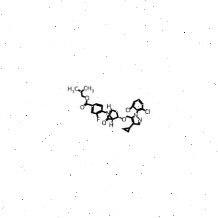 CC(C)COC(=O)c1ccc(N2C(=O)[C@@H]3C[C@H]2C[C@H]3OCc2c(C3CC3)cnn2-c2c(Cl)cccc2Cl)c(F)c1